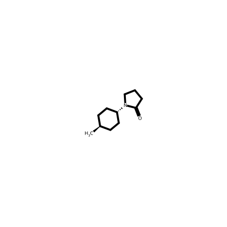 C[C@H]1CC[C@H](N2CCCC2=O)CC1